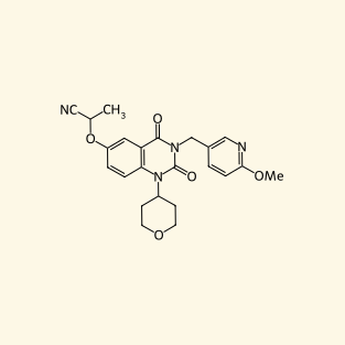 COc1ccc(Cn2c(=O)c3cc(OC(C)C#N)ccc3n(C3CCOCC3)c2=O)cn1